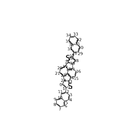 C1=C(c2ccc3ccccc3c2)SC2c3ccc4c5c(ccc(c35)C12)C1SC(c2ccc3ccccc3c2)=CC41